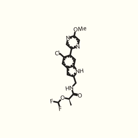 COc1cnc(-c2cc3[nH]c(CNC(=O)[C@@H](C)OC(F)F)cc3cc2Cl)cn1